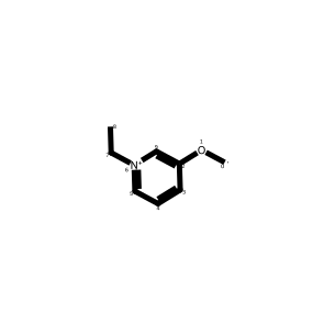 [CH2]Oc1ccc[n+](CC)c1